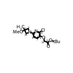 COC1(C)CN(c2ccc(OCC(=O)OC(C)(C)C)c(Cl)n2)C1